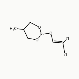 CC1COP(OC=C(Cl)Cl)OC1